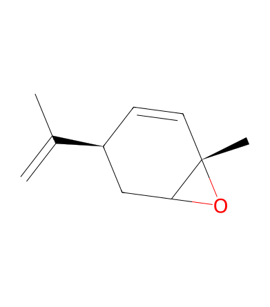 C=C(C)[C@H]1C=C[C@]2(C)OC2C1